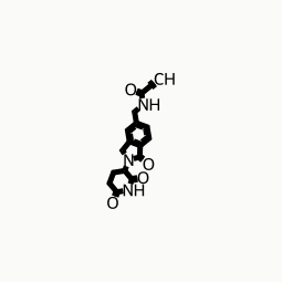 C#CC(=O)NCc1ccc2c(c1)CN(C1CCC(=O)NC1=O)C2=O